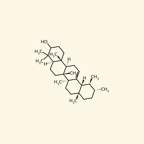 C[C@H]1[C@H](C)CC[C@]2(C)CC[C@]3(C)C(=CC[C@@H]4[C@@]5(C)CCC(O)C(C)(C)[C@@H]5CC[C@]43C)[C@H]12